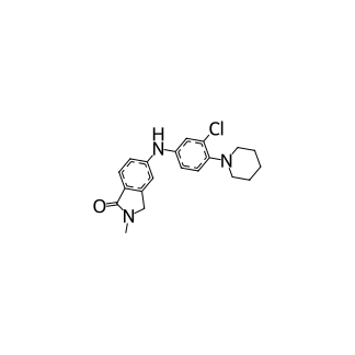 CN1Cc2cc(Nc3ccc(N4CCCCC4)c(Cl)c3)ccc2C1=O